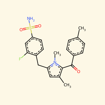 Cc1ccc(C(=O)c2c(C)cc(Cc3ccc(S(N)(=O)=O)cc3F)n2C)cc1